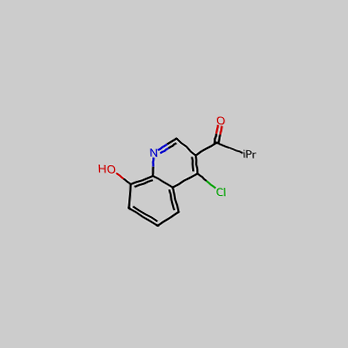 CC(C)C(=O)c1cnc2c(O)cccc2c1Cl